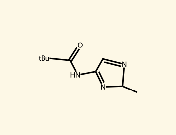 CC1N=CC(NC(=O)C(C)(C)C)=N1